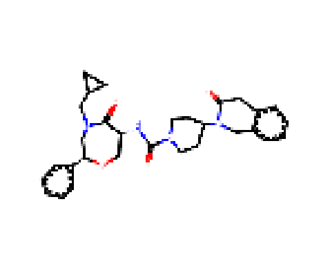 O=C(N[C@@H]1CO[C@@H](c2ccccc2)CN(CC2CC2)C1=O)N1CCC(N2Cc3ccccc3CC2=O)CC1